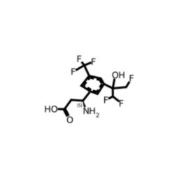 N[C@@H](CC(=O)O)c1cc(C(F)(F)F)cc(C(O)(CF)C(F)F)c1